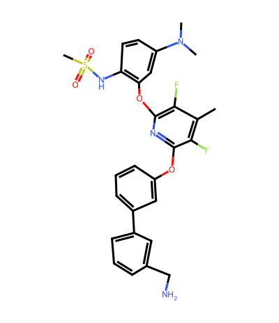 Cc1c(F)c(Oc2cccc(-c3cccc(CN)c3)c2)nc(Oc2cc(N(C)C)ccc2NS(C)(=O)=O)c1F